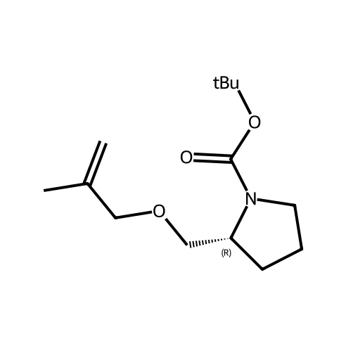 C=C(C)COC[C@H]1CCCN1C(=O)OC(C)(C)C